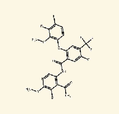 COc1ncc(NC(=O)c2cc(F)c(C(F)(F)F)cc2Oc2ccc(F)c(F)c2OC)c(C(C)=O)c1Br